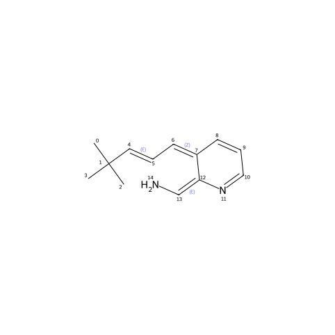 CC(C)(C)/C=C/C=c1/cccn/c1=C/N